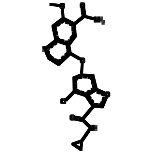 COc1cc2nccc(Oc3cc(Cl)c4c(C(=O)NC5CC5)coc4c3)c2cc1C(N)=O